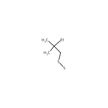 CCC(C)(C)CS[S]